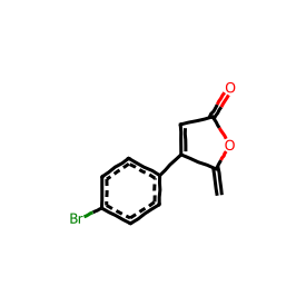 C=C1OC(=O)C=C1c1ccc(Br)cc1